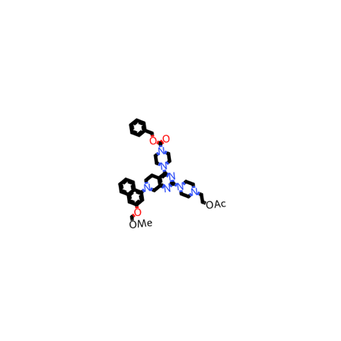 COCOc1cc(N2CCc3c(nc(N4CCN(CCOC(C)=O)CC4)nc3N3CCN(C(=O)OCc4ccccc4)CC3)C2)c2ccccc2c1